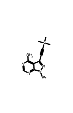 CC(C)n1nc(C#C[Si](C)(C)C)c2c(N)ncnc21